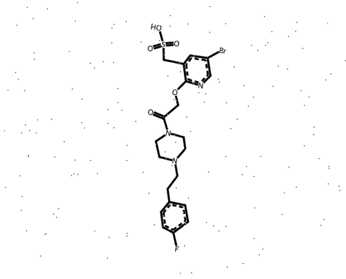 O=C(COc1ncc(Br)cc1CS(=O)(=O)O)N1CCN(CCc2ccc(F)cc2)CC1